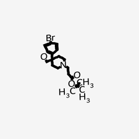 CC(C)(C)OC(=O)CCN1CCC2(CC1)COc1cc(Br)ccc12